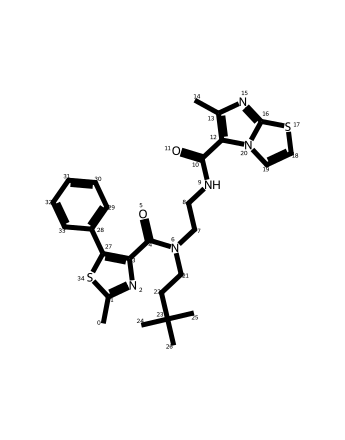 Cc1nc(C(=O)N(CCNC(=O)c2c(C)nc3sccn23)CCC(C)(C)C)c(-c2ccccc2)s1